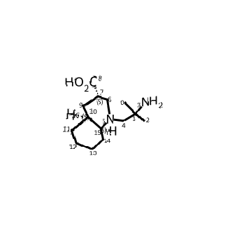 CC(C)(N)CN1C[C@@H](C(=O)O)C[C@@H]2CCCC[C@@H]21